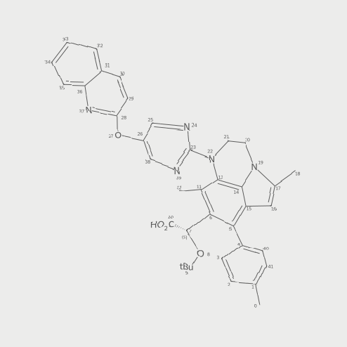 Cc1ccc(-c2c([C@H](OC(C)(C)C)C(=O)O)c(C)c3c4c2cc(C)n4CCN3c2ncc(Oc3ccc4ccccc4n3)cn2)cc1